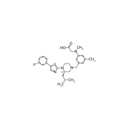 Cc1cc(CN2CCN(c3ncc(-c4cccc(F)c4)s3)[C@H](CC(C)C)C2)cc(N(C)CC(=O)O)c1